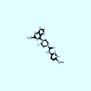 COc1ccc(NC(=O)N2CCN(c3nc(N)nc4scnc34)[C@@H](C)C2)nn1